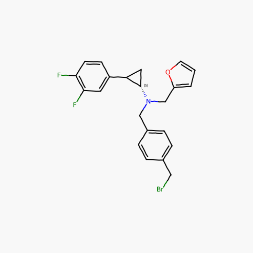 Fc1ccc(C2C[C@@H]2N(Cc2ccc(CBr)cc2)Cc2ccco2)cc1F